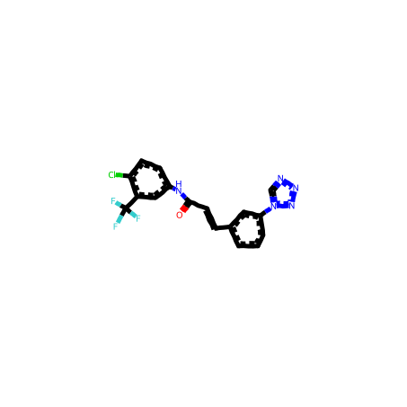 O=C(/C=C/c1cccc(-n2cnnn2)c1)Nc1ccc(Cl)c(C(F)(F)F)c1